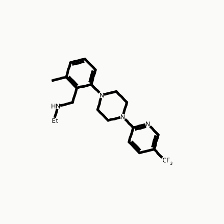 CCNCc1c(C)cccc1N1CCN(c2ccc(C(F)(F)F)cn2)CC1